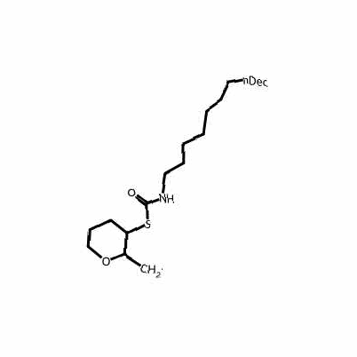 [CH2]C1OCCCC1SC(=O)NCCCCCCCCCCCCCCCCC